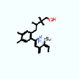 C=C(/C=C(\N)c1cc(C)c(C)cc1CC(C)C(C)(C)CO)/C(=C\C)C(C)(C)C